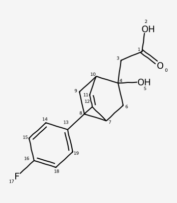 O=C(O)CC1(O)CC2CCC1C=C2c1ccc(F)cc1